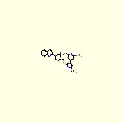 Cc1cc(-c2cn(C)nc2OCc2ccc(-c3ccc4ccccc4n3)cc2)cc(C)n1